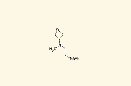 CNCCN(C)C1COC1